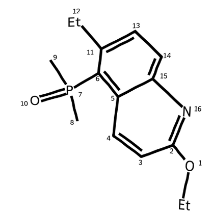 CCOc1ccc2c(P(C)(C)=O)c(CC)ccc2n1